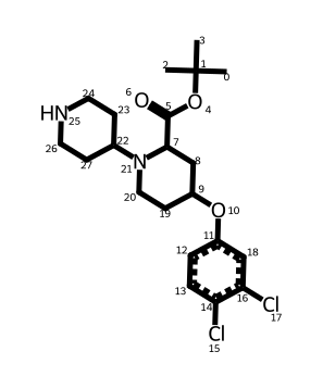 CC(C)(C)OC(=O)C1CC(Oc2ccc(Cl)c(Cl)c2)CCN1C1CCNCC1